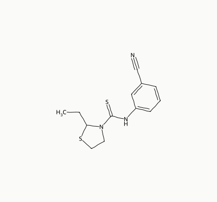 CCC1SCCN1C(=S)Nc1cccc(C#N)c1